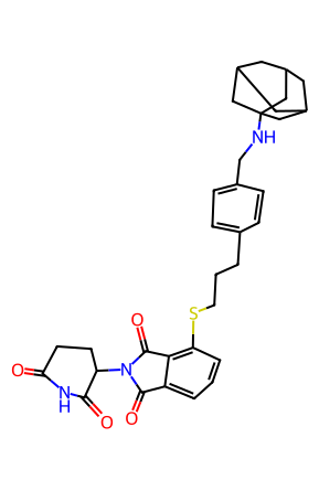 O=C1CCC(N2C(=O)c3cccc(SCCCc4ccc(CNC56CC7CC(CC(C7)C5)C6)cc4)c3C2=O)C(=O)N1